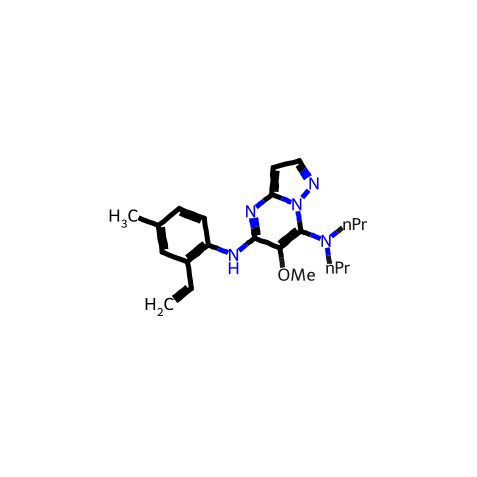 C=Cc1cc(C)ccc1Nc1nc2ccnn2c(N(CCC)CCC)c1OC